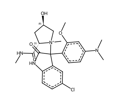 CNC(=O)[C@@H]1C[C@@H](O)C[N+]1(C)C1(c2ccc(N(C)C)cc2OC)C(=O)Nc2ccc(Cl)cc21